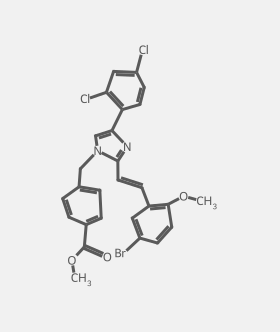 COC(=O)c1ccc(Cn2cc(-c3ccc(Cl)cc3Cl)nc2C=Cc2cc(Br)ccc2OC)cc1